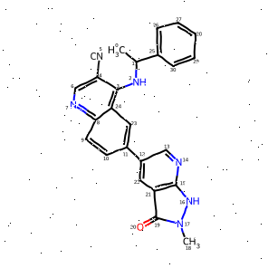 CC(Nc1c(C#N)cnc2ccc(-c3cnc4[nH]n(C)c(=O)c4c3)cc12)c1ccccc1